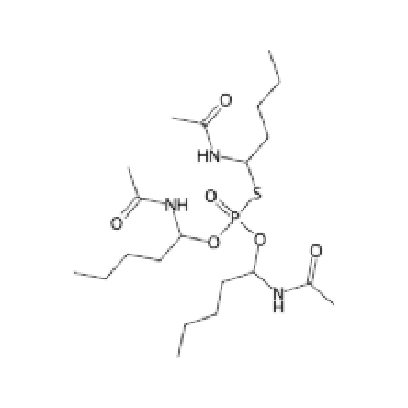 CCCCC(NC(C)=O)OP(=O)(OC(CCCC)NC(C)=O)SC(CCCC)NC(C)=O